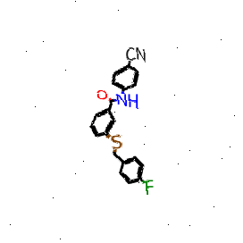 N#Cc1ccc(NC(=O)c2cccc(SCc3ccc(F)cc3)c2)cc1